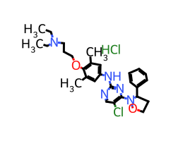 CCN(CC)CCCOc1c(C)cc(Nc2ncc(Cl)c(N3OCCC3c3ccccc3)n2)cc1C.Cl